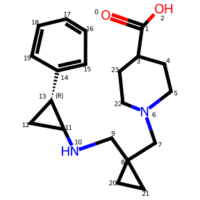 O=C(O)C1CCN(CC2(CNC3C[C@@H]3c3ccccc3)CC2)CC1